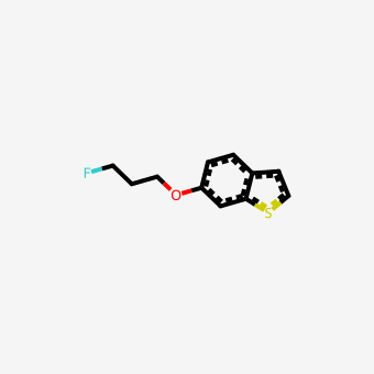 FCCCOc1ccc2ccsc2c1